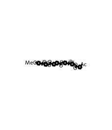 COc1ccc(C(C)(c2ccc(OC(=O)c3ccc4cc(C(=O)Oc5ccc(C(C)(c6ccc(OC(=O)c7cccc(C(C)=O)c7)cc6)C(C)C)cc5)ccc4c3)cc2)C(C)C)cc1